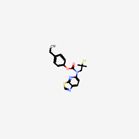 CC(C)(S)CN(C(=O)Oc1ccc(CC#N)cc1)c1ccc2ncsc2n1